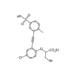 CCCS(=O)(=O)c1ccc(C)c(C#Cc2cc(Cl)ccc2OC(CC(C)C)C(=O)OCC)c1